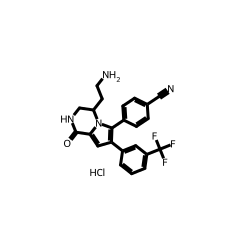 Cl.N#Cc1ccc(-c2c(-c3cccc(C(F)(F)F)c3)cc3n2C(CCN)CNC3=O)cc1